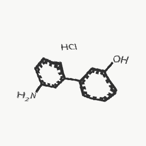 Cl.Nc1cccc(-c2cccc(O)c2)c1